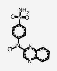 NS(=O)(=O)c1ccc(N(Cl)c2cnc3ccccc3n2)cc1